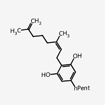 C=C(C)CCC/C(C)=C\Cc1c(O)cc(CCCCC)cc1O